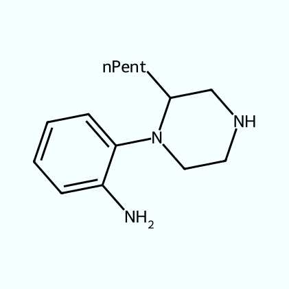 CCCCCC1CNCCN1c1ccccc1N